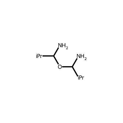 CC(C)C(N)OC(N)C(C)C